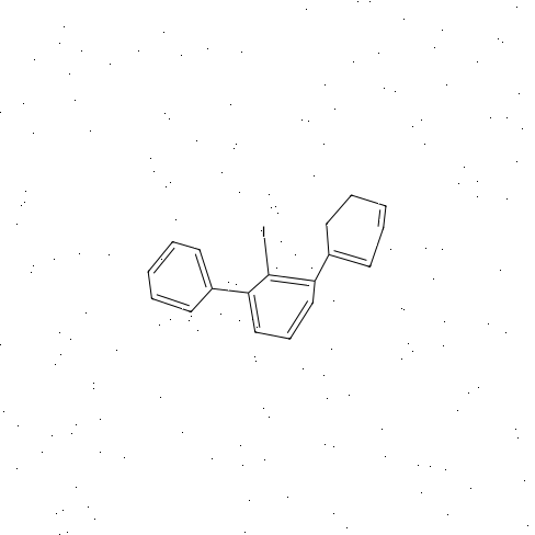 Ic1c(C2=CC=CCC2)cccc1-c1ccccc1